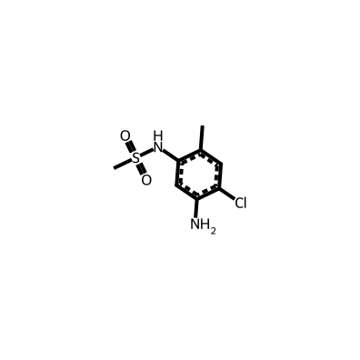 Cc1cc(Cl)c(N)cc1NS(C)(=O)=O